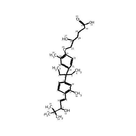 CCC(CC)(c1ccc(/C=C/C(O)C(C)(C)C)c(C)c1)c1ccc(OC[C@@H](O)CCCC(=O)O)c(C)c1